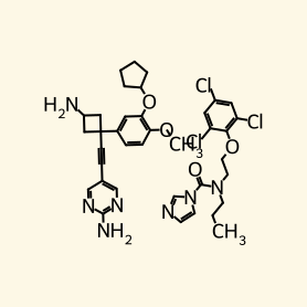 CCCN(CCOc1c(Cl)cc(Cl)cc1Cl)C(=O)n1ccnc1.COc1ccc(C2(C#Cc3cnc(N)nc3)CC(N)C2)cc1OC1CCCC1